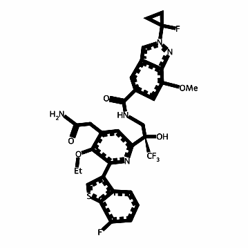 CCOc1c(CC(N)=O)cc([C@@](O)(CNC(=O)c2cc(OC)c3nn(C4(F)CC4)cc3c2)C(F)(F)F)nc1-c1csc2c(F)cccc12